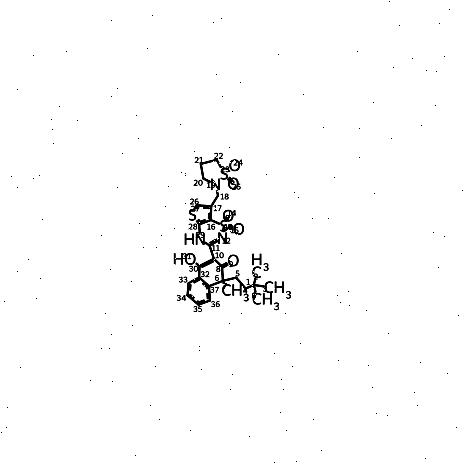 CC(C)(C)CC[C@@]1(C)C(=O)C(C2=NS(=O)(=O)c3c(CN4CCCS4(=O)=O)csc3N2)=C(O)c2ccccc21